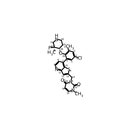 Cc1cc(Cl)cc(-c2ccnc3cc(Cn4c(=O)ccn(C)c4=O)sc23)c1O[C@H]1CCNC[C@]1(C)F